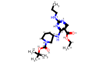 CCCNc1ncc(C(=O)OCC)c(N[C@@H]2CCCN(C(=O)OC(C)(C)C)C2)n1